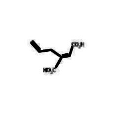 C=CCC(=CC(=O)O)C(=O)O